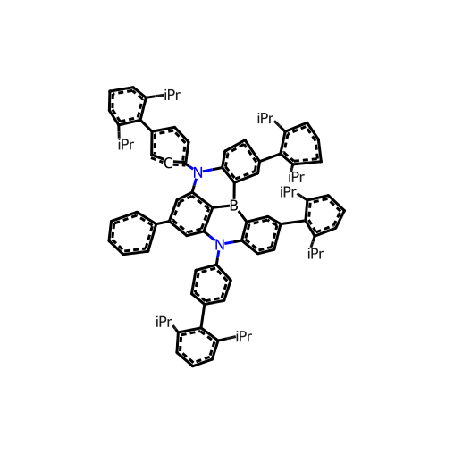 CC(C)c1cccc(C(C)C)c1-c1ccc(N2c3ccc(-c4c(C(C)C)cccc4C(C)C)cc3B3c4cc(-c5c(C(C)C)cccc5C(C)C)ccc4N(c4ccc(-c5c(C(C)C)cccc5C(C)C)cc4)c4cc(-c5ccccc5)cc2c43)cc1